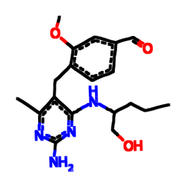 CCCC(CO)Nc1nc(N)nc(C)c1Cc1ccc(C=O)cc1OC